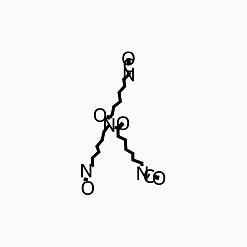 O=C=NCCCCCCC(=O)N(CCCCCCN=C=O)C(=O)CCCCCCN=C=O